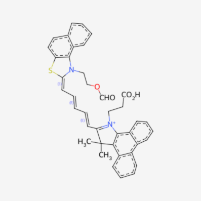 CC1(C)C(/C=C/C=C/C=C2/Sc3ccc4ccccc4c3N2CCOC=O)=[N+](CCC(=O)O)c2c1c1ccccc1c1ccccc21